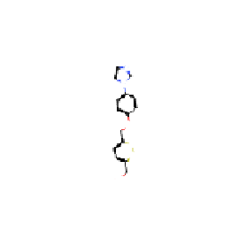 OCC1=CC=C(COc2ccc(-n3ccnc3)cc2)SS1